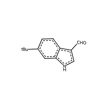 CC(C)(C)c1ccc2c(C=O)c[nH]c2c1